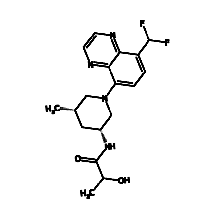 CC(O)C(=O)N[C@@H]1C[C@H](C)CN(c2ccc(C(F)F)c3nccnc23)C1